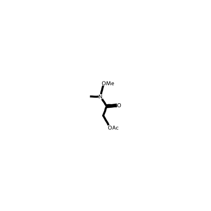 CON(C)C(=O)COC(C)=O